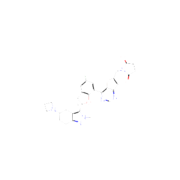 Cn1nc2c(c1[C@H]1Cc3cc(Cl)cc(-c4ncnc5cc(CN6C(=O)CCC6=O)sc45)c3O1)CC(N1CCC1)CC2